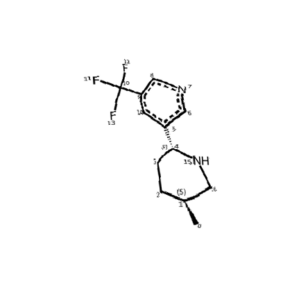 C[C@H]1CC[C@H](c2cncc(C(F)(F)F)c2)NC1